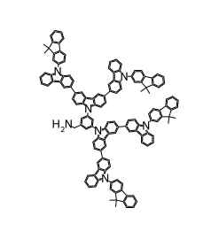 CC1(C)c2ccccc2-c2ccc(-n3c4ccccc4c4cc(-c5ccc6c(c5)c5cc(-c7ccc8c(c7)c7ccccc7n8-c7ccc8c(c7)C(C)(C)c7ccccc7-8)ccc5n6-c5cc(CN)cc(-n6c7ccc(-c8ccc9c(c8)c8ccccc8n9-c8ccc9c(c8)C(C)(C)c8ccccc8-9)cc7c7cc(-c8ccc9c(c8)c8ccccc8n9-c8ccc9c(c8)C(C)(C)c8ccccc8-9)ccc76)c5)ccc43)cc21